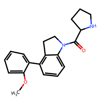 COc1ccccc1-c1cccc2c1CCN2C(=O)C1CCCN1